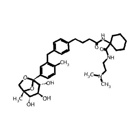 Cc1ccc([C@]23OC[C@](C)(O2)[C@@H](O)[C@H](O)[C@H]3O)cc1Cc1ccc(CCCC(=O)NC2(C(=O)NCCN(C)C)CCCCC2)cc1